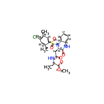 COC(=O)[C@@H](C)NC(=O)C[C@@H]1C(=O)Nc2ccccc2N1S(=O)(=O)c1cc(C)c(Cl)cc1C